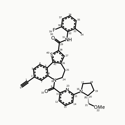 C#Cc1ccc2c(c1)N(C(=O)c1cccc(N3CCC[C@@H]3COC)n1)CCc1cc(C(=O)Nc3c(C)cccc3F)sc1-2